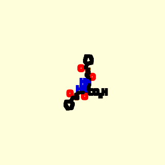 O=C(CSC(=O)c1ccccc1)NCC(NC(=O)CSC(=O)c1ccccc1)C(=O)O